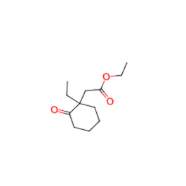 CCOC(=O)CC1(CC)CCCCC1=O